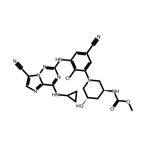 COC(=O)N[C@H]1C[C@H](O)CN(c2cc(C#N)cc(Nc3nc(NC4CC4)c4ncc(C#N)n4n3)c2Cl)C1